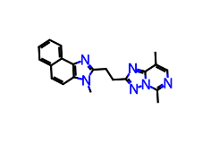 Cc1cnc(C)n2nc(CCc3nc4c5ccccc5ccc4n3C)nc12